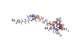 CCCCCCCCc1cc(OCCCCCCOC(=O)C2=C(C)NC(C)=C(C(=O)OC)C2c2ccccc2[N+](=O)[O-])n[nH]1